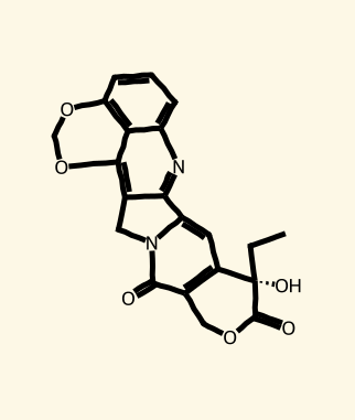 CC[C@@]1(O)C(=O)OCc2c1cc1n(c2=O)Cc2c-1nc1cccc3c1c2OCO3